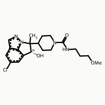 COCCCNC(=O)N1CCC(C2(C)[C@H](O)c3cc(Cl)cc4cnn2c34)CC1